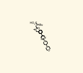 CN(Cc1cccc(-c2cnc(N3CCC(N4CCOCC4)CC3)nc2)c1)C(=O)CN(C(=O)O)C(C)(C)C